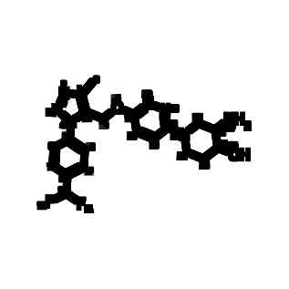 Cc1nnn(-c2ccc(C(F)F)cc2)c1COc1ccc(N2CCC(O)C(N)C2)nn1